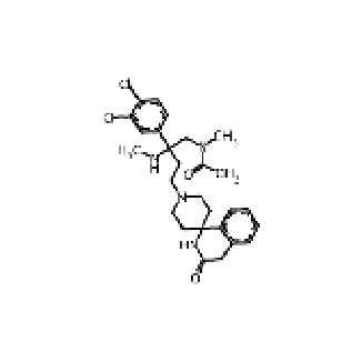 CNC(CCN1CCC2(CC1)NC(=O)Cc1ccccc12)(CN(C)C(C)=O)c1ccc(Cl)c(Cl)c1